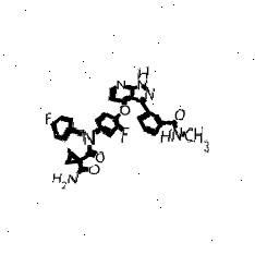 CNC(=O)c1cccc(-c2n[nH]c3nccc(Oc4ccc(N(C(=O)C5(C(N)=O)CC5)c5ccc(F)cc5)cc4F)c23)c1